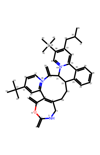 C=C1NCC2=C(C(=C)O1)c1cc(C(C)(C)C)cc[n+]1C(=C)C1C(CC2)c2ccccc2-c2cc(CC(C)C)c([Si](C)(C)C)c[n+]21